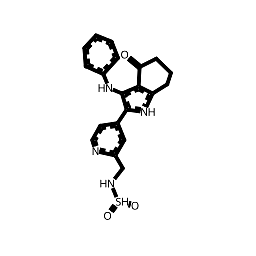 O=C1CCCc2[nH]c(-c3ccnc(CN[SH](=O)=O)c3)c(Nc3ccccc3)c21